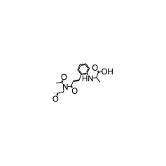 CC(=O)N(C[C]=O)C(=O)/C=C/c1ccccc1NC(C)C(=O)O